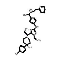 C=Cn1nc(Nc2ccc(C(O)N(C)CCc3ccccn3)cc2)nc1/C(=C\C)N1CCC(O)(c2ccc(Cl)cc2)CC1